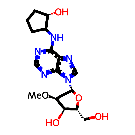 CO[C@@H]1[C@H](O)[C@@H](CO)O[C@H]1n1cnc2c(NC3CCC[C@@H]3O)ncnc21